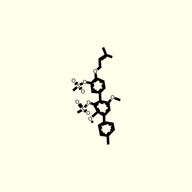 COc1cc(-c2ccc(C)cc2)c(OC)c(OS(C)(=O)=O)c1-c1ccc(OCC=C(C)C)c(OS(C)(=O)=O)c1